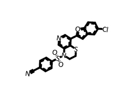 N#Cc1ccc(S(=O)(=O)N2CCSc3c(-c4cc5cc(Cl)ccc5o4)cncc32)cc1